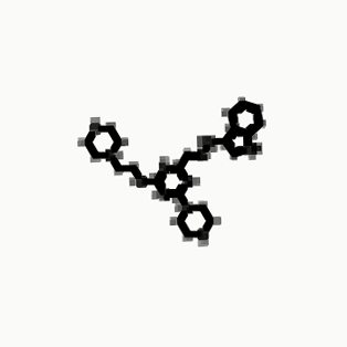 C(=NNc1c[nH]c2ccccc12)c1nc(OCCN2CCOCC2)nc(N2CCOCC2)n1